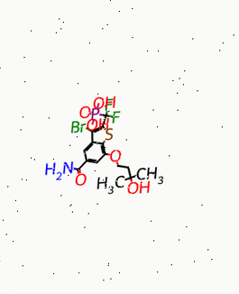 CC(C)(O)CCOc1cc(C(N)=O)cc2c(Br)c(C(F)(F)P(=O)(O)O)sc12